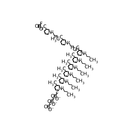 CCCC[n+]1cccc(C)c1.CCCC[n+]1cccc(C)c1.CCCC[n+]1cccc(C)c1.CCCC[n+]1cccc(C)c1.CCCC[n+]1cccc(C)c1.CCCC[n+]1cccc(C)c1.CCCC[n+]1cccc(C)c1.CCCC[n+]1cccc(C)c1.[O-]B([O-])F.[O-]B([O-])F.[O-]B([O-])F.[O-]B([O-])F